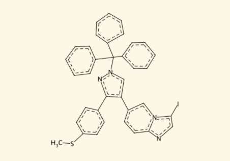 CSc1ccc(-c2nn(C(c3ccccc3)(c3ccccc3)c3ccccc3)cc2-c2ccc3ncc(I)n3c2)cc1